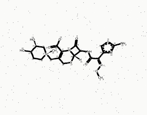 CO/N=C(\C(=O)NC1C(=O)N2C(C(=O)[O-])=C(C[N@+]3(C)CCC(O)[C@@H](O)C3)CS[C@@H]12)c1csc(N)n1